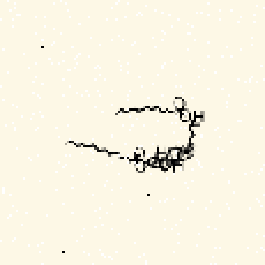 CCCCCCCCCCCC(=O)O.CCCCCCCCCCCCCC(=O)O[C@H]1CC[C@@]2(C)C(=CC[C@H]3[C@@H]4CC[C@H]([C@H](C)CCCC(C)C)[C@@]4(C)CC[C@@H]32)C1